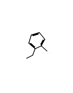 [S]Cc1ccccc1Br